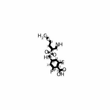 C=C=C/C=C(\C=N)S(=O)(=O)Nc1cc(F)c(C(=O)O)c(F)c1